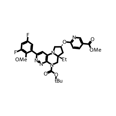 CC[C@]12C[C@@H](Oc3ccc(C(=O)OC)cn3)CN1c1cc(-c3cc(F)cc(F)c3OC)nnc1N(C(=O)OC(C)(C)C)C2